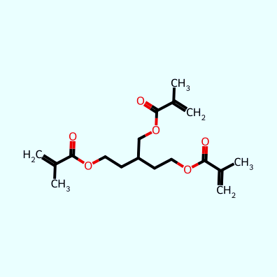 C=C(C)C(=O)OCCC(CCOC(=O)C(=C)C)COC(=O)C(=C)C